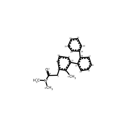 Cc1c(CC(=O)N(C)C)cccc1-c1ccccc1-c1ccccc1